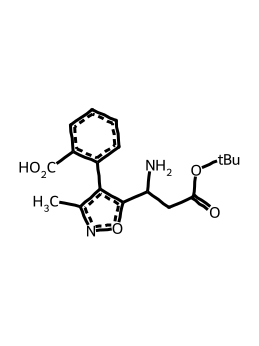 Cc1noc(C(N)CC(=O)OC(C)(C)C)c1-c1ccccc1C(=O)O